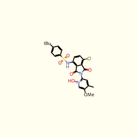 COc1c[n+](O)c(N2C(=O)c3c(Cl)ccc(NS(=O)(=O)c4ccc(C(C)(C)C)cc4)c3C2=O)cc1C